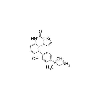 CC(C)(CN)c1ccc(-c2c(O)ccc3[nH]c(=O)c4sccc4c23)cc1